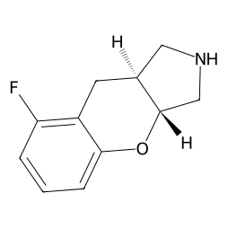 Fc1cccc2c1C[C@H]1CNC[C@@H]1O2